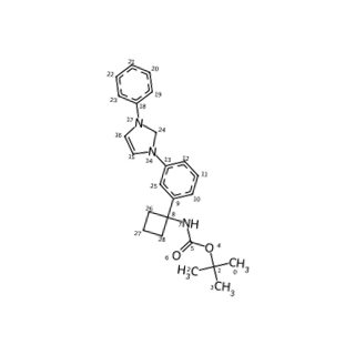 CC(C)(C)OC(=O)NC1(c2cccc(N3C=CN(c4ccccc4)C3)c2)CCC1